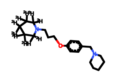 [2H]C1([2H])N(CCCOc2ccc(CN3CCCCC3)cc2)C([2H])([2H])C([2H])([2H])C([2H])([2H])C1([2H])[2H]